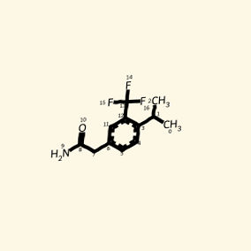 CC(C)c1ccc(CC(N)=O)cc1C(F)(F)F